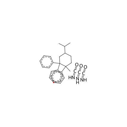 CC(C)C1CCC(C)(c2ccccc2)C(c2ccccc2)(c2ccccc2)C1.N=C=O.N=C=O.N=C=O